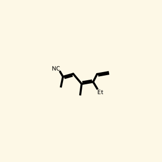 C=C/C(CC)=C(C)\C=C(/C)C#N